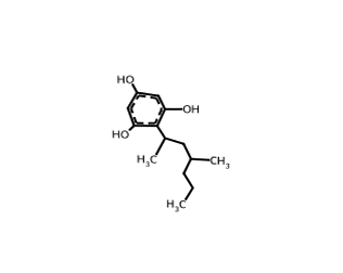 CCCC(C)CC(C)c1c(O)cc(O)cc1O